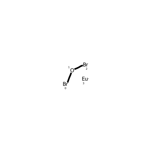 BrOBr.[Eu]